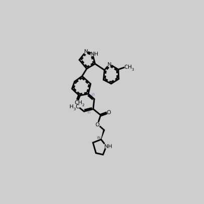 C=c1ccc(-c2cn[nH]c2-c2cccc(C)n2)c/c1=C/C(=C\C)C(=O)OC[C@@H]1CCCN1